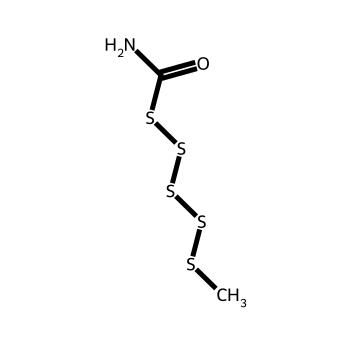 CSSSSSC(N)=O